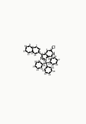 Clc1cc2c(-c3ccc4ccccc4c3)nn(C(c3ccccc3)(c3ccccc3)c3ccccc3)c2cn1